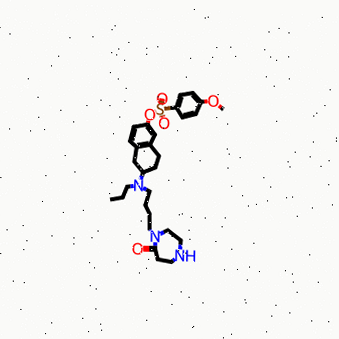 CCCN(CCCCN1CCNCCC1=O)C1CCc2cc(OS(=O)(=O)c3ccc(OC)cc3)ccc2C1